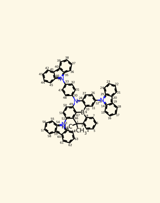 CC1(C)c2ccccc2B2c3cc(-n4c5ccccc5c5ccccc54)ccc3N(c3ccc(-n4c5ccccc5c5ccccc54)cc3)c3ccc(-n4c5ccccc5c5ccccc54)c1c32